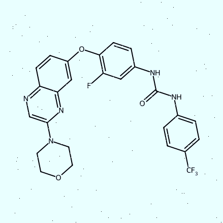 O=C(Nc1ccc(C(F)(F)F)cc1)Nc1ccc(Oc2ccc3ncc(N4CCOCC4)nc3c2)c(F)c1